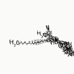 CCCCCCCCCCCCCCCCCCOC[C@@H](COP(=O)(O)OC[C@@]1(C)OC[C@@](O)(c2ccc3c(N)ncnn23)[C@@H]1O)OCc1ccc(C#N)cc1OC